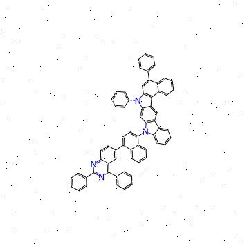 c1ccc(-c2nc(-c3ccccc3)c3cc(-c4ccc(-n5c6ccccc6c6cc7c8c9ccccc9c(-c9ccccc9)cc8n(-c8ccccc8)c7cc65)c5ccccc45)ccc3n2)cc1